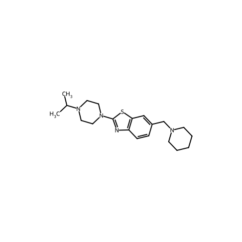 CC(C)N1CCN(c2nc3ccc(CN4CCCCC4)cc3s2)CC1